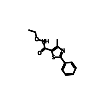 CCONC(=O)c1sc(-c2ccccc2)nc1C